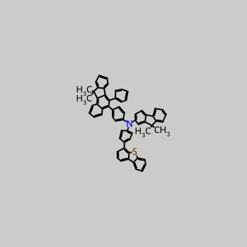 CC1(C)c2ccccc2-c2ccc(N(c3ccc(-c4c(-c5ccccc5)c5c(c6ccccc46)C(C)(C)c4ccccc4-5)cc3)c3ccc(-c4cccc5c4sc4ccccc45)cc3)cc21